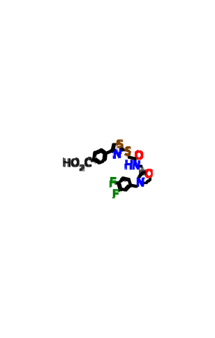 O=C(CSc1nc(-c2ccc(C(=O)O)cc2)cs1)NC[C@H]1CN(Cc2ccc(F)c(F)c2)CCO1